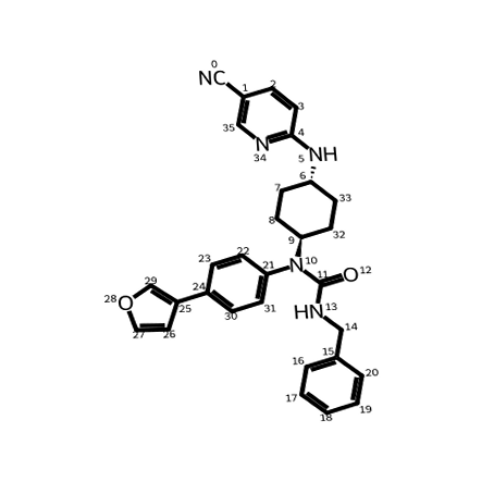 N#Cc1ccc(N[C@H]2CC[C@H](N(C(=O)NCc3ccccc3)c3ccc(-c4ccoc4)cc3)CC2)nc1